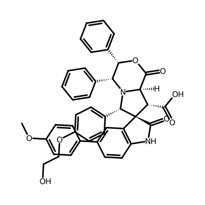 COc1ccc(-c2ccc3c(c2)[C@]2(C(=O)N3)[C@H](c3ccc(OCCO)cc3)N3[C@H](c4ccccc4)[C@H](c4ccccc4)OC(=O)[C@H]3[C@@H]2C(=O)O)cc1